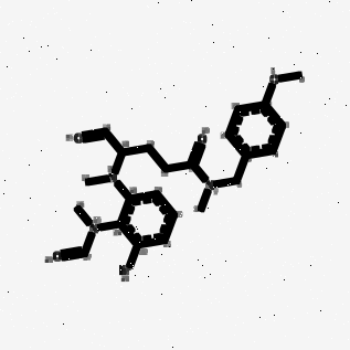 COc1ccc(CN(C)C(=O)CCC(C=O)N(C)c2cccc(Br)c2N(C)C=O)cc1